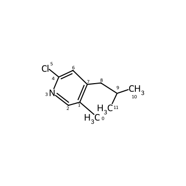 Cc1cnc(Cl)cc1CC(C)C